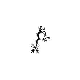 C[SiH](C)OC(CCCOS(C)(=O)=O)C(C)(C)C